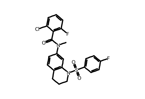 CN(C(=O)c1c(F)cccc1Cl)c1ccc2c(c1)N(S(=O)(=O)c1ccc(F)cc1)CCC2